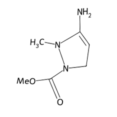 COC(=O)N1CC=C(N)N1C